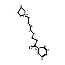 O=C(CCCCCCCN1C[CH]CC1)c1ccccc1